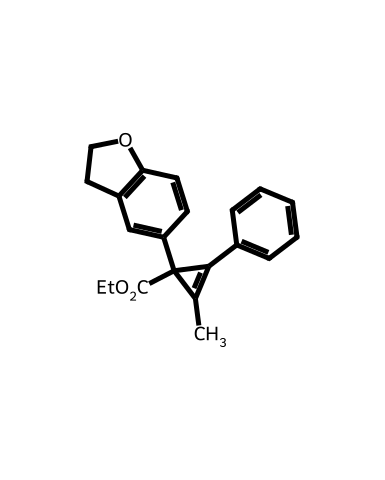 CCOC(=O)C1(c2ccc3c(c2)CCO3)C(C)=C1c1ccccc1